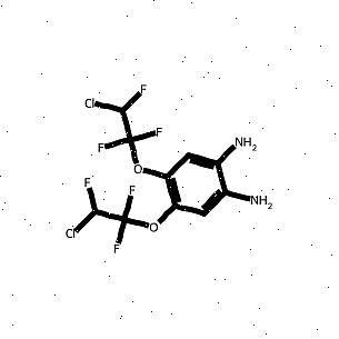 Nc1cc(OC(F)(F)C(F)Cl)c(OC(F)(F)C(F)Cl)cc1N